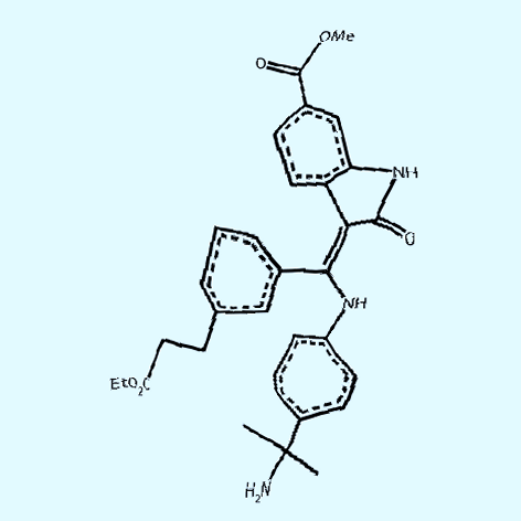 CCOC(=O)CCc1cccc(/C(Nc2ccc(C(C)(C)N)cc2)=C2/C(=O)Nc3cc(C(=O)OC)ccc32)c1